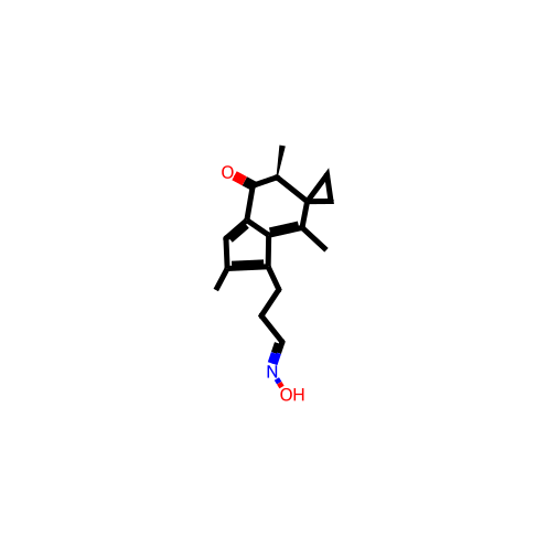 CC1=C(CC/C=N/O)C2=C(C)C3(CC3)[C@H](C)C(=O)C2=C1